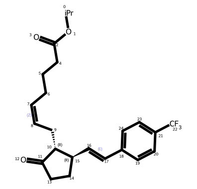 CC(C)OC(=O)CCC/C=C\C[C@H]1C(=O)CC[C@@H]1/C=C/c1ccc(C(F)(F)F)cc1